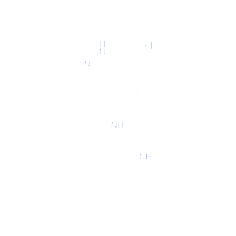 CC(=N)/C=C\NC1=CNNC(Cl)=C1